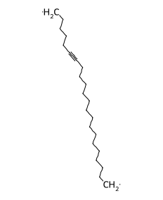 [CH2]CCCCC#CCCCCCCCCCCCCCC[CH2]